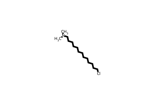 CN(C)CCCCCCCCCCCCCCl